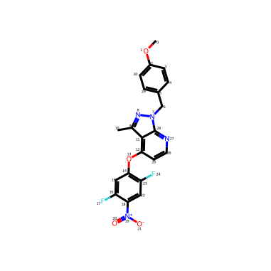 COc1ccc(Cn2nc(C)c3c(Oc4cc(F)c([N+](=O)[O-])cc4F)ccnc32)cc1